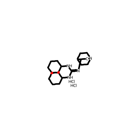 C1CCC(NC(=NC2CN3CCC2CC3)NC2CCCCC2)CC1.Cl.Cl